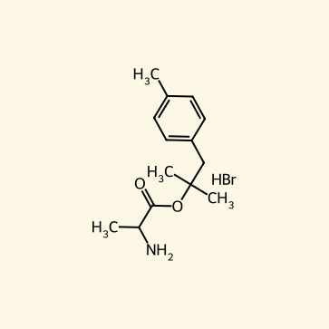 Br.Cc1ccc(CC(C)(C)OC(=O)C(C)N)cc1